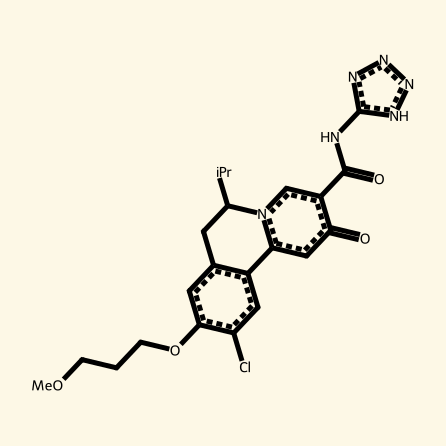 COCCCOc1cc2c(cc1Cl)-c1cc(=O)c(C(=O)Nc3nnn[nH]3)cn1C(C(C)C)C2